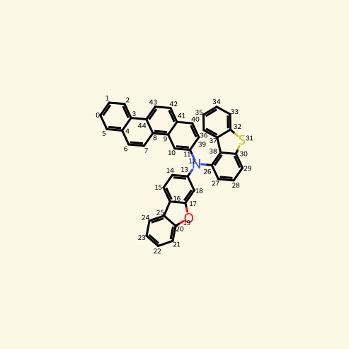 c1ccc2c(c1)ccc1c3cc(N(c4ccc5c(c4)oc4ccccc45)c4cccc5sc6ccccc6c45)ccc3ccc21